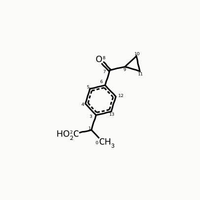 CC(C(=O)O)c1ccc(C(=O)C2CC2)cc1